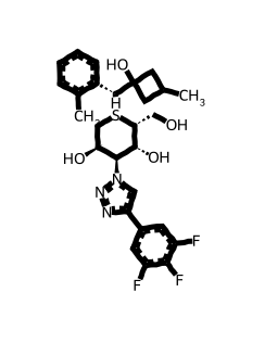 Cc1ccccc1[C@@H]([SH]1C[C@H](O)[C@H](n2cc(-c3cc(F)c(F)c(F)c3)nn2)[C@@H](O)[C@H]1CO)C1(O)CC(C)C1